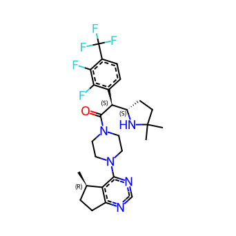 C[C@@H]1CCc2ncnc(N3CCN(C(=O)[C@@H](c4ccc(C(F)(F)F)c(F)c4F)[C@@H]4CCC(C)(C)N4)CC3)c21